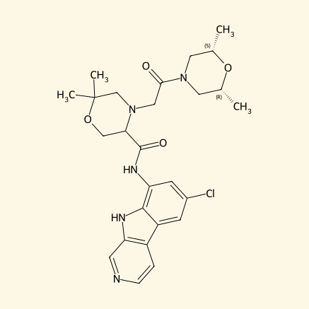 C[C@@H]1CN(C(=O)CN2CC(C)(C)OCC2C(=O)Nc2cc(Cl)cc3c2[nH]c2cnccc23)C[C@H](C)O1